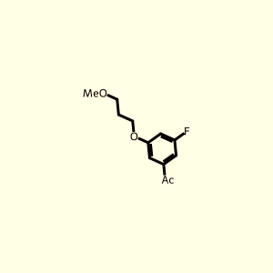 COCCCOc1cc(F)cc(C(C)=O)c1